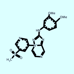 COc1ccc(NC2=N[N+]3(c4cncc(S(C)(=O)=O)c4)C=CN=CC3=N2)cc1OC